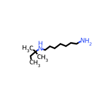 CCC(C)(C)NCCCCCCCN